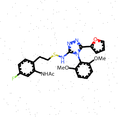 COc1cccc(OC)c1-n1c(NSCCc2ccc(F)cc2NC(C)=O)nnc1-c1ccco1